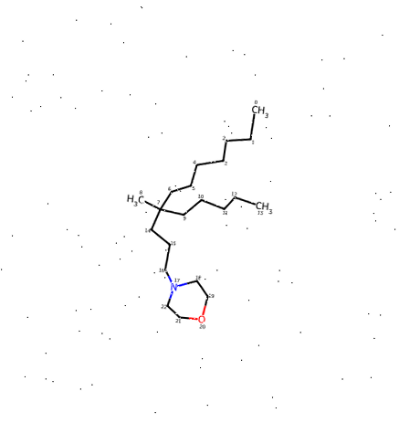 CCCCCCCC(C)(CCCCC)CCCN1CCOCC1